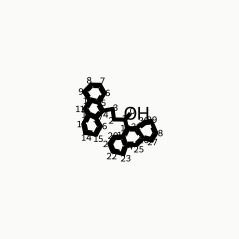 OC(CCc1c2ccccc2cc2ccccc12)c1c2ccccc2cc2ccccc12